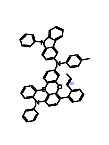 C/C=C/c1ccccc1-c1ccc2c3c1Oc1cc(N(c4ccc(C)cc4)c4ccc5c(c4)c4ccccc4n5-c4ccccc4)ccc1B3c1ccccc1N2c1ccccc1